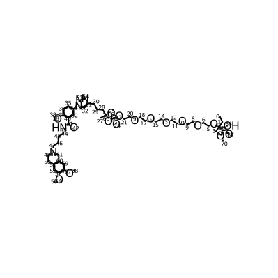 CCC(C)(OCCOCCOCCOCCOCCOCCOP1(=O)OC(C)(CCCc2cn(-c3ccc(OC)c(C(=O)NCCCCN4CCc5cc(OC)c(OC)cc5C4)c3)nn2)O1)P(=O)(O)OC